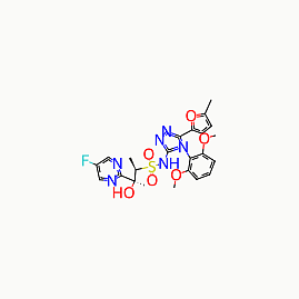 COc1cccc(OC)c1-n1c(NS(=O)(=O)[C@H](C)[C@@](C)(O)c2ncc(F)cn2)nnc1-c1ccc(C)o1